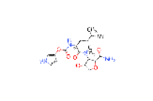 CC(C)C(C)CC[C@H](NC(=O)Oc1cc[nH]c1)C(=O)N(C)C1C(=O)COC1C(N)=O